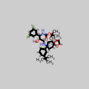 CC(C)(C)OC(=O)NC(c1cc(F)cc(F)c1)[C@H](O)CNC1(c2cccc(C(C)(C)C)c2)CCC2(CC1)OCCO2